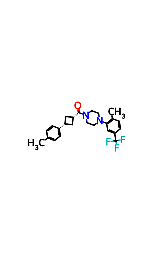 Cc1ccc([C@H]2C[C@@H](C(=O)N3CCN(c4cc(C(F)(F)F)ccc4C)CC3)C2)cc1